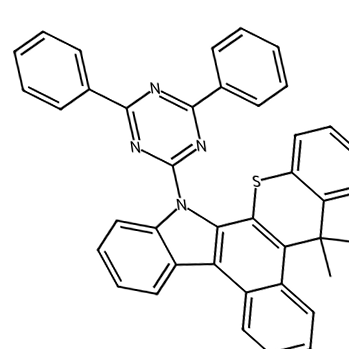 CC1(C)c2ccccc2Sc2c1c1ccccc1c1c3ccccc3n(-c3nc(-c4ccccc4)nc(-c4ccccc4)n3)c21